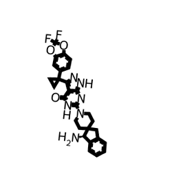 N[C@@H]1c2ccccc2CC12CCN(c1nc3[nH]nc(C4(c5ccc6c(c5)OC(F)(F)O6)CC4)c3c(=O)[nH]1)CC2